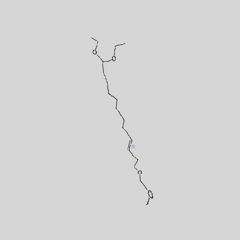 CCOC(CCCCCCC/C=C/CCOCOC)OCC